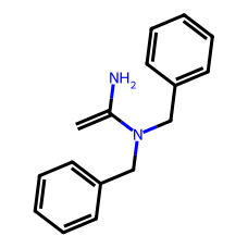 C=C(N)N(Cc1ccccc1)Cc1ccccc1